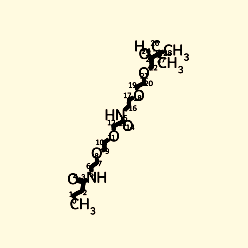 CCCC(=O)NCCOCCOCC(=O)NCCOCCOCC(=O)C(C)(C)C